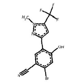 Cn1nc(-c2cc(C#N)c(Br)cc2O)cc1C(F)(F)F